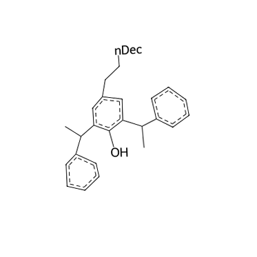 CCCCCCCCCCCCc1cc(C(C)c2ccccc2)c(O)c(C(C)c2ccccc2)c1